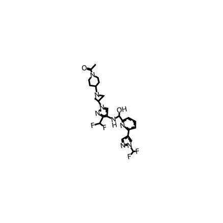 CC(=O)N1CCC(N2CC(n3cc(NC(O)c4cccc(-c5cnn(C(F)F)c5)n4)c(C(F)F)n3)C2)CC1